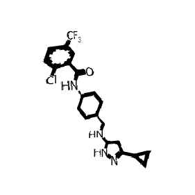 O=C(N[C@H]1CC[C@H](CNC2CC(C3CC3)=NN2)CC1)c1cc(C(F)(F)F)ccc1Cl